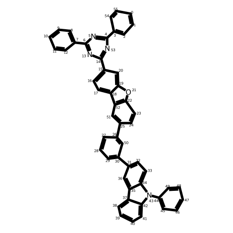 c1ccc(-c2nc(-c3ccccc3)nc(-c3ccc4c(c3)oc3ccc(-c5cccc(-c6ccc7c(c6)c6ccccc6n7-c6ccccc6)c5)cc34)n2)cc1